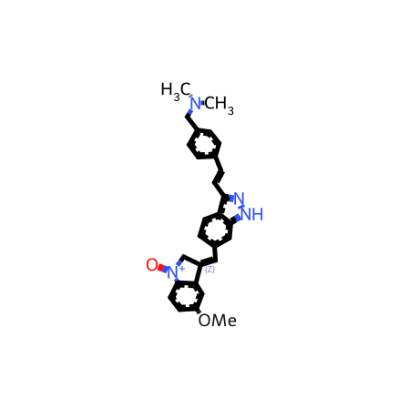 COc1ccc2c(c1)/C(=C/c1ccc3c(C=Cc4ccc(CN(C)C)cc4)n[nH]c3c1)C[N+]2=O